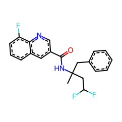 CC(Cc1ccccc1)(CC(F)F)NC(=O)c1cnc2c(F)cccc2c1